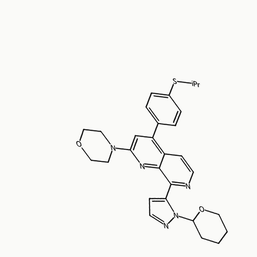 CC(C)Sc1ccc(-c2cc(N3CCOCC3)nc3c(-c4ccnn4C4CCCCO4)nccc23)cc1